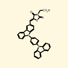 O=C(O)CN1C(=O)/C(=C/c2ccc3c(c2)c2ccccc2n3-c2ccc(-n3c4ccccc4c4ccccc43)cc2)SC1=S